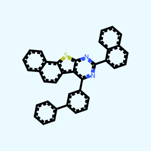 c1ccc(-c2cccc(-c3nc(-c4cccc5ccccc45)nc4sc5c6ccccc6ccc5c34)c2)cc1